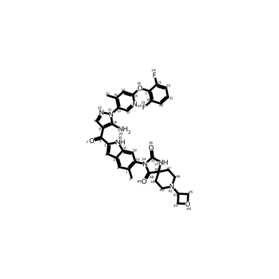 Cc1cc2cc(C(=O)c3cnn(-c4cnc(Oc5c(F)cccc5F)cc4C)c3N)[nH]c2cc1N1C(=O)NC2(CCN(C3COC3)CC2)C1=O